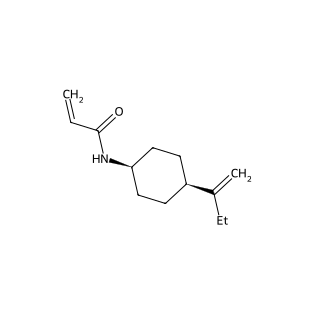 C=CC(=O)N[C@H]1CC[C@@H](C(=C)CC)CC1